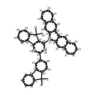 CC1(C)c2ccccc2-c2cc(-c3nc4c(c(-n5c6cc7ccccc7cc6c6cc7ccccc7cc65)n3)C(C)(C)c3ccccc3-4)ccc21